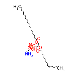 CCCC/C=C\CCCCCCCC(=O)O[C@H](COC(=O)CCCCCCCCCCCCCCCCC)COP(=O)(O)OCCN